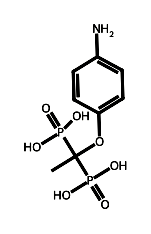 CC(Oc1ccc(N)cc1)(P(=O)(O)O)P(=O)(O)O